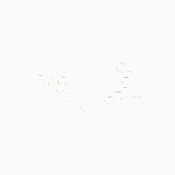 COc1cc2nn(C3CCC(CN4CCN(C(=O)Cn5ccc6c(N7CCC(=O)NC7=O)cccc65)CC4)CC3)cc2cc1C(=O)Nc1cnc2cccnn12